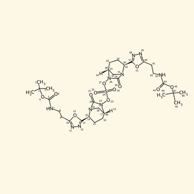 CC(C)(C)OC(=O)NCCc1nnc([C@@H]2CC[C@@H]3CN2C(=O)N3OS(=O)(=O)ON2C(=O)N3C[C@H]2CC[C@H]3c2nnc(CCNC(=O)OC(C)(C)C)o2)o1